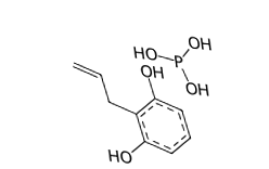 C=CCc1c(O)cccc1O.OP(O)O